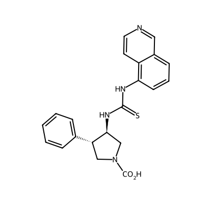 O=C(O)N1C[C@H](NC(=S)Nc2cccc3cnccc23)[C@@H](c2ccccc2)C1